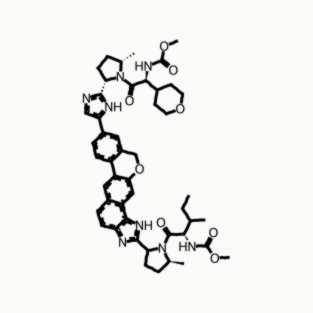 CCC(C)[C@H](NC(=O)OC)C(=O)N1C(c2nc3ccc4cc5c(cc4c3[nH]2)OCc2cc(-c3cnc([C@@H]4CC[C@H](C)N4C(=O)[C@@H](NC(=O)OC)C4CCOCC4)[nH]3)ccc2-5)CC[C@@H]1C